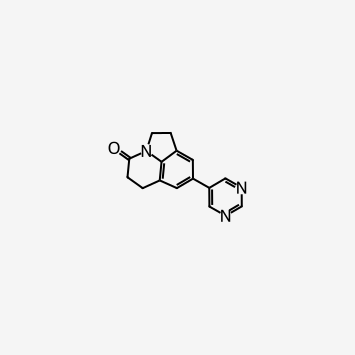 O=C1CCc2cc(-c3cncnc3)cc3c2N1CC3